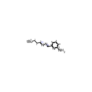 CC(C)(C)CC/C=N/N=C/c1cccc(N)n1